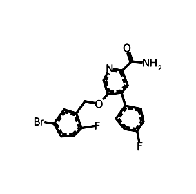 NC(=O)c1cc(-c2ccc(F)cc2)c(OCc2cc(Br)ccc2F)cn1